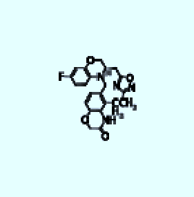 Cc1noc(C[C@@H]2COc3cc(F)ccc3N2Cc2ccc3c(c2C)NC(=O)CO3)n1